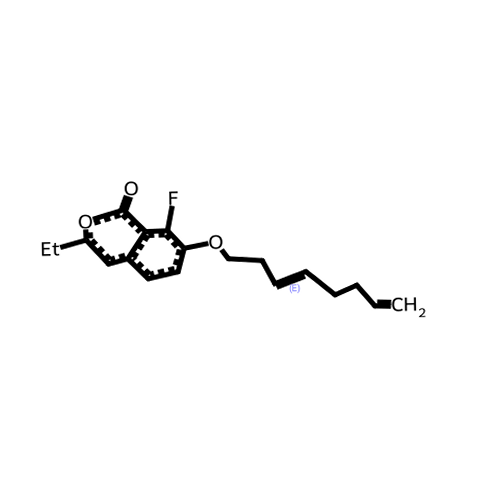 C=CCC/C=C/CCOc1ccc2cc(CC)oc(=O)c2c1F